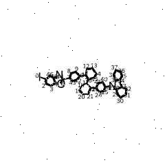 Ic1ccc2oc(-c3ccc(-c4ccccc4C4CC=CC=C4c4ccc(-n5c6ccccc6c6ccccc65)cc4)cc3)nc2c1